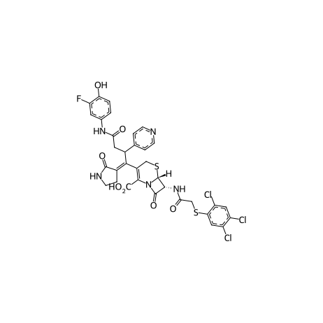 O=C(CC(C(=C1CCNC1=O)C1=C(C(=O)O)N2C(=O)[C@@H](NC(=O)CSc3cc(Cl)c(Cl)cc3Cl)[C@H]2SC1)c1ccncc1)Nc1ccc(O)c(F)c1